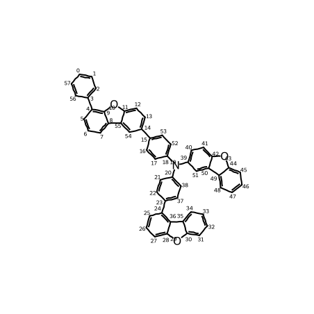 c1ccc(-c2cccc3c2oc2ccc(-c4ccc(N(c5ccc(-c6cccc7oc8ccccc8c67)cc5)c5ccc6oc7ccccc7c6c5)cc4)cc23)cc1